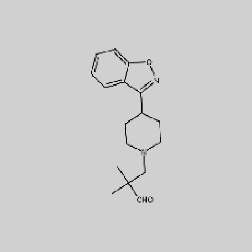 CC(C)(C=O)CN1CCC(c2noc3ccccc23)CC1